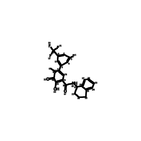 Cn1c(-c2cc(F)cc(C(F)(F)F)c2)cc(C(=O)NC2CCCc3ccccc32)c(O)c1=O